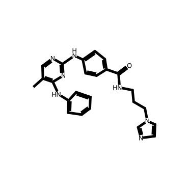 Cc1cnc(Nc2ccc(C(=O)NCCCn3ccnc3)cc2)nc1Nc1ccccc1